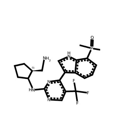 CP(C)(=O)c1cccc2c(-c3nc(NC4CCC[C@H]4CN)ncc3C(F)(F)F)c[nH]c12